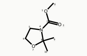 COC(=O)N1CCOC1(C)C